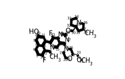 CCc1c(F)ccc2cc(O)cc(-c3ncc4c(N5CCO[C@@H](COC)C5)nc(OC[C@@]56CCCN5C[C@H](C)C6)nc4c3F)c12